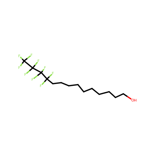 OCCCCCCCCCCC(F)(F)C(F)(F)C(F)(F)C(F)(F)F